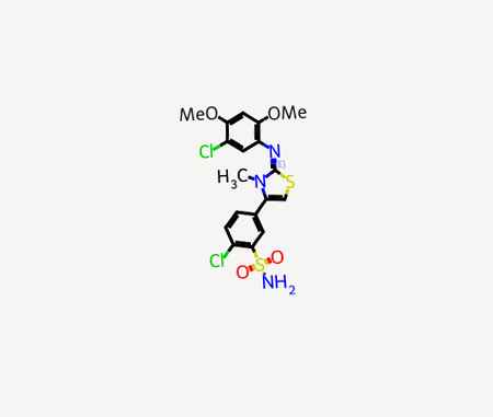 COc1cc(OC)c(/N=c2/scc(-c3ccc(Cl)c(S(N)(=O)=O)c3)n2C)cc1Cl